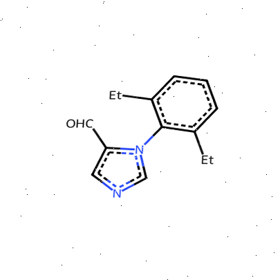 CCc1cccc(CC)c1-n1cncc1C=O